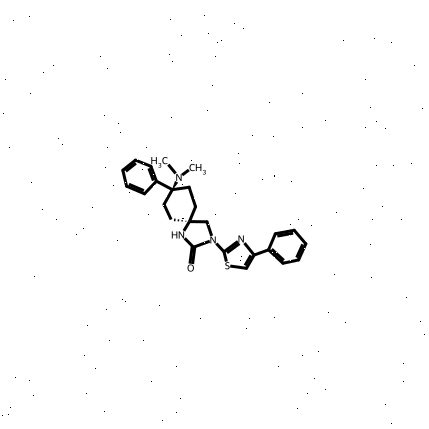 CN(C)[C@]1(c2ccccc2)CC[C@]2(CC1)CN(c1nc(-c3ccccc3)cs1)C(=O)N2